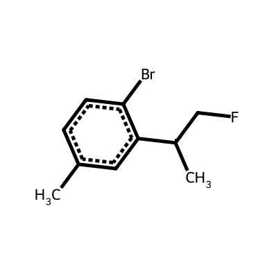 C[C](CF)c1cc(C)ccc1Br